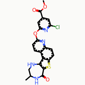 COC(=O)c1cc(Cl)nc(Oc2ccc3c(ccc4sc5c(c43)NCC(C)NC5=O)n2)c1